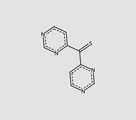 S=C(c1ccncn1)c1ccncn1